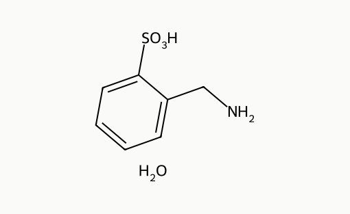 NCc1ccccc1S(=O)(=O)O.O